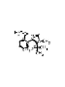 COc1ccccc1-c1ncn(C)c1C(C)(C)C